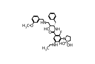 CCNc1cc(C(=O)N[C@@H](Cc2ccccc2)[C@@H](O)CNCc2cccc(OC)c2)c(F)c(N2CCCS2(O)O)c1